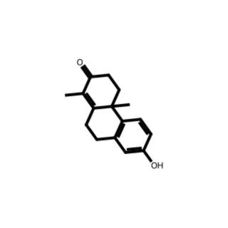 CC1=C2CCc3cc(O)ccc3C2(C)CCC1=O